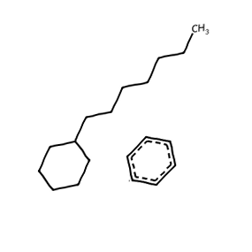 CCCCCCC[C]1CCCCC1.[c]1ccccc1